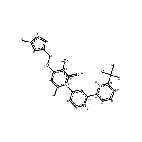 Cc1cc(COc2cc(C)n(-c3ccnc(-c4ccnc(C(C)(C)C)n4)c3)c(=O)c2Br)cs1